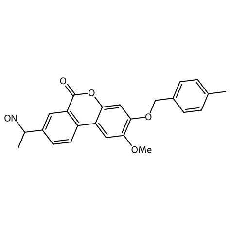 COc1cc2c(cc1OCc1ccc(C)cc1)oc(=O)c1cc(C(C)N=O)ccc12